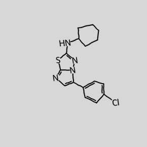 Clc1ccc(-c2cnc3sc(NC4CCCCC4)nn23)cc1